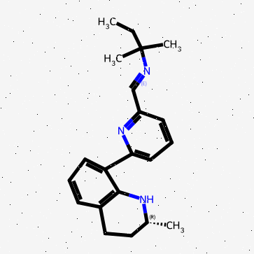 CCC(C)(C)/N=C/c1cccc(-c2cccc3c2N[C@H](C)CC3)n1